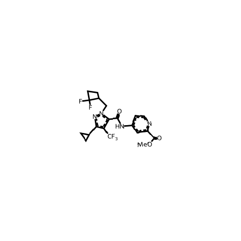 COC(=O)c1cc(NC(=O)c2c(C(F)(F)F)c(C3CC3)nn2CC2CCC2(F)F)ccn1